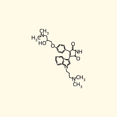 CN(C)CCCn1cc(C2=C(c3ccc(OCC(O)CN(C)C)cc3)C(=O)NC2=O)c2ccccc21